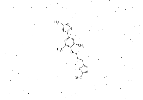 Cc1nc(-c2cc(C)c(OCCCc3ccc(C=O)o3)c(C)c2)no1